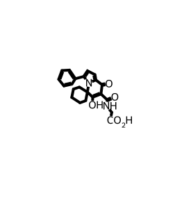 O=C(O)CNC(=O)C1=C(O)C2(CCCCC2)n2c(ccc2-c2ccccc2)C1=O